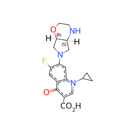 O=C(O)c1cn(C2CC2)c2cc(N3C[C@@H]4NCCO[C@@H]4C3)c(F)cc2c1=O